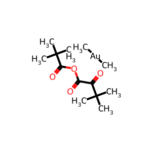 CC(C)(C)C(=O)OC(=O)C(=O)C(C)(C)C.[CH3][Au][CH3]